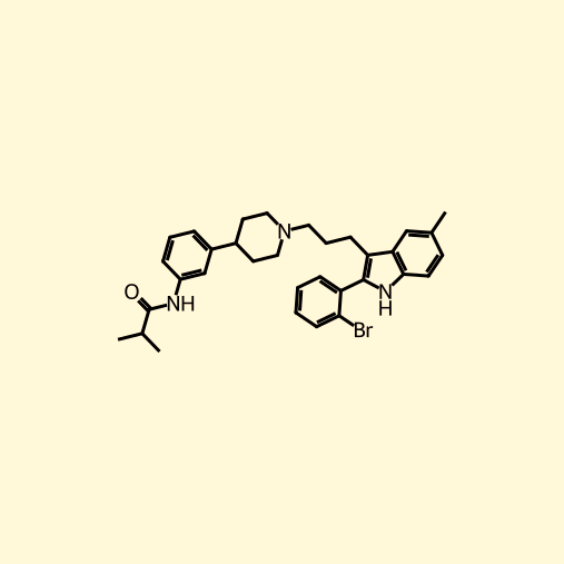 Cc1ccc2[nH]c(-c3ccccc3Br)c(CCCN3CCC(c4cccc(NC(=O)C(C)C)c4)CC3)c2c1